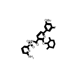 CC(C)COc1cc(F)cc(-c2ccc(C(=O)NS(=O)(=O)c3cccc(N)n3)c(OC3C(C)CCCC3C)n2)c1